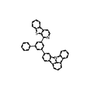 c1ccc(-c2cc(-c3ccc4c5cccc6c7ccccc7n(c4c3)c65)cc(-c3nccc4c3sc3ccccc34)c2)cc1